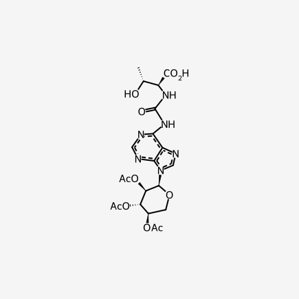 CC(=O)O[C@@H]1[C@@H](OC(C)=O)[C@@H](n2cnc3c(NC(=O)N[C@H](C(=O)O)[C@@H](C)O)ncnc32)OC[C@H]1OC(C)=O